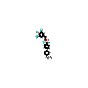 CCC[C@H]1CC[C@H](c2ccc(C(F)(F)OCCc3cc(F)c(F)c(F)c3)cc2)CC1